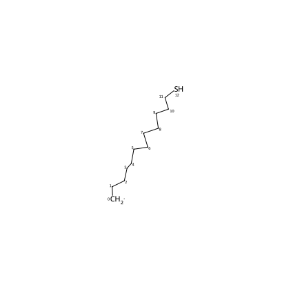 [CH2]CCCCCCCCCCCS